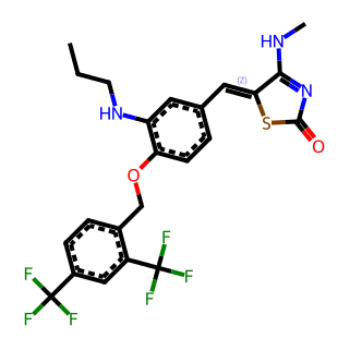 CCCNc1cc(/C=C2\SC(=O)N=C2NC)ccc1OCc1ccc(C(F)(F)F)cc1C(F)(F)F